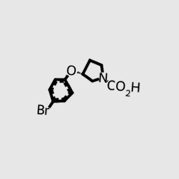 O=C(O)N1CC[C@@H](Oc2ccc(Br)cc2)C1